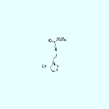 CC[C@H]1CCCN1CCC#CC(=O)NC